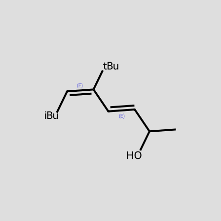 CCC(C)/C=C(\C=C\C(C)O)C(C)(C)C